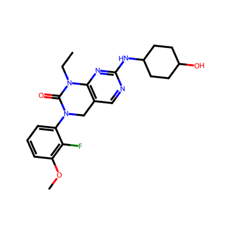 CCN1C(=O)N(c2cccc(OC)c2F)Cc2cnc(NC3CCC(O)CC3)nc21